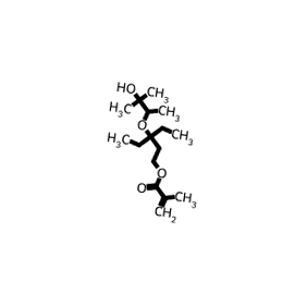 C=C(C)C(=O)OCCC(CC)(CC)OC(C)C(C)(C)O